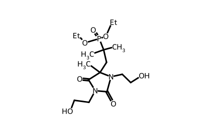 CCOP(=O)(OCC)C(C)(C)CC1(C)C(=O)N(CCO)C(=O)N1CCO